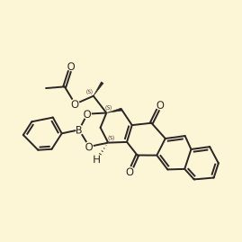 CC(=O)O[C@@H](C)[C@]12CC3=C(C(=O)c4cc5ccccc5cc4C3=O)[C@H](C1)OB(c1ccccc1)O2